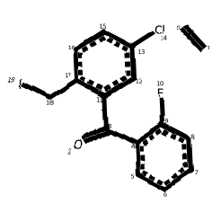 C=C.O=C(c1ccccc1F)c1cc(Cl)ccc1CI